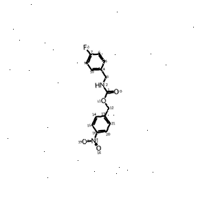 O=C(N[CH]c1ccc(F)cc1)OCc1ccc([N+](=O)[O-])cc1